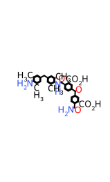 Cc1cc(Cc2cc(C)c(NC(=O)c3ccc(C(=O)c4ccc(C(N)=O)c(C(=O)O)c4)cc3C(=O)O)c(C)c2)cc(C)c1N